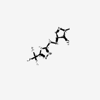 CN1N=CC(=NOc2nnc(C(F)(F)F)s2)C1=O